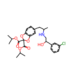 CC(Cc1ccc2c(c1)OC(C(=O)OC(C)C)(C(=O)OC(C)C)O2)NCC(O)c1cccc(Cl)c1